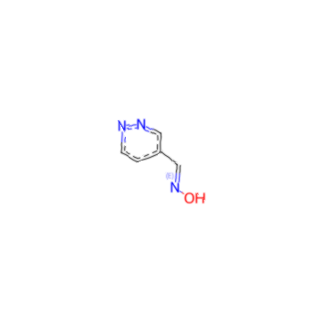 O/N=C/c1ccnnc1